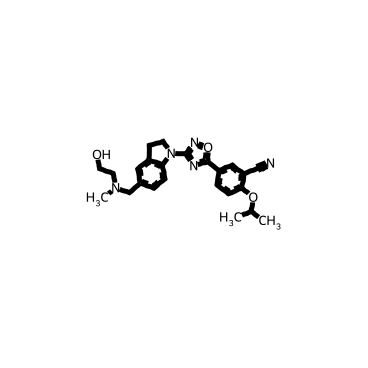 CC(C)Oc1ccc(-c2nc(N3CCc4cc(CN(C)CCO)ccc43)no2)cc1C#N